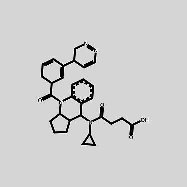 O=C(O)CCC(=O)N(C1CC1)C1c2ccccc2N(C(=O)C2C=C(C3C=CN=NC3)C=CC2)C2CCCC21